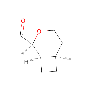 C[C@@]12CCO[C@](C)(C=O)[C@@H]1CC2